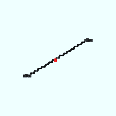 CCCCCCCCCCCCCCCCCCCCCCCCCCOCCCCCCCCCCCCCCCCCCCCCCC